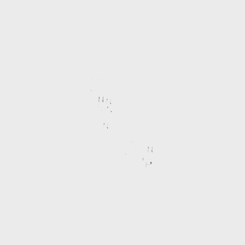 CN(Cc1cccc(C2CCN(Cc3cn(-c4ccccc4)nn3)CC2)c1)[SH](=O)=O